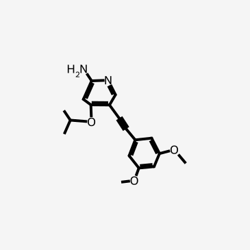 COc1cc(C#Cc2cnc(N)cc2OC(C)C)cc(OC)c1